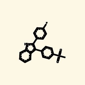 CS(=O)(=O)c1ccc(-c2c(-c3ccc(F)cc3)[nH]c3ccccc23)cc1